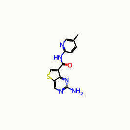 Cc1ccc(NC(=O)c2csc3cnc(N)nc23)nc1